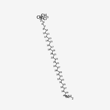 C[Si](Cl)(Cl)CCCCCCCCCCCCCCCCCCCCCCCCCCCCCCCCCCCCCN